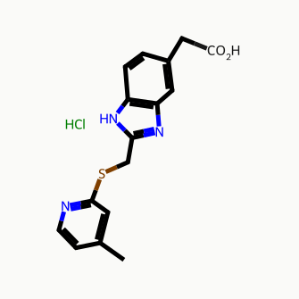 Cc1ccnc(SCc2nc3cc(CC(=O)O)ccc3[nH]2)c1.Cl